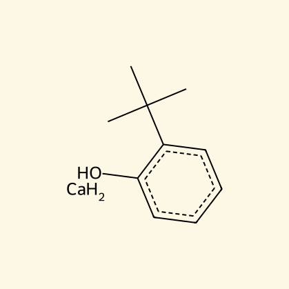 CC(C)(C)c1ccccc1O.[CaH2]